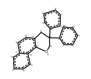 c1ccc(C2(c3ccccc3)COc3c(ccc4ccccc34)C2)cc1